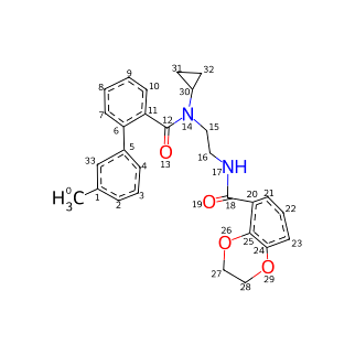 Cc1cccc(-c2ccccc2C(=O)N(CCNC(=O)c2cccc3c2OCCO3)C2CC2)c1